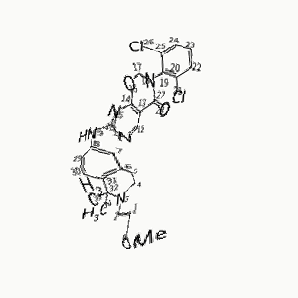 COCCN1CCc2cc(Nc3ncc4c(n3)OCN(c3c(Cl)cccc3Cl)C4=O)ccc2C1(C)C